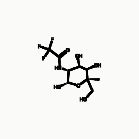 C[C@]1(CO)O[C@H](O)[C@H](NC(=O)C(F)(F)F)[C@@H](O)[C@H]1O